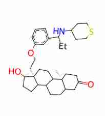 CCC(NC1CCSCC1)c1cccc(OCC[C@]23CCC4C(CCC5CC(=O)CC[C@@]54C)C2CCC3O)c1